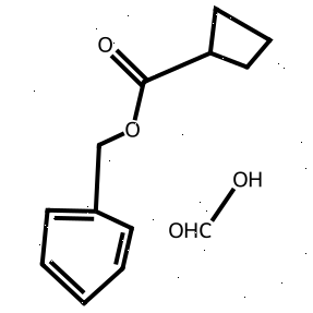 O=C(OCc1ccccc1)C1CCC1.O=CO